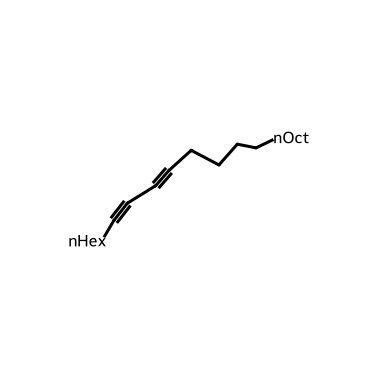 CCCCCCC#CC#CCCCCCCCCCCCC